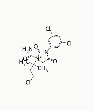 CC(C)(CCCl)[N+]1(C(N)=O)CC(=O)N(c2cc(Cl)cc(Cl)c2)C1=O